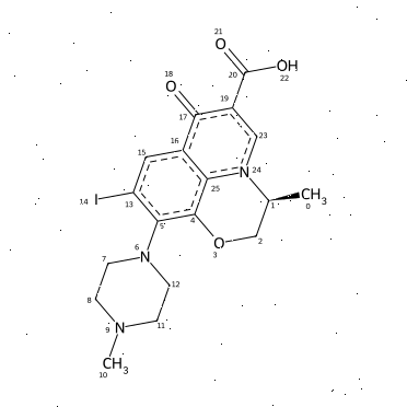 C[C@H]1COc2c(N3CCN(C)CC3)c(I)cc3c(=O)c(C(=O)O)cn1c23